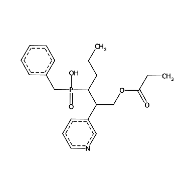 CCCC(C(COC(=O)CC)c1cccnc1)P(=O)(O)Cc1ccccc1